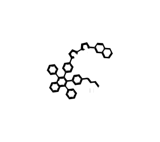 S/C=C\C=C\c1ccc(-c2c(-c3ccc(-c4ccc(-c5ccc(C6=CC7=CC=CCC7C=C6)s5)s4)cc3)c(-c3ccccc3)c3ccccc3c2-c2ccccc2)cc1